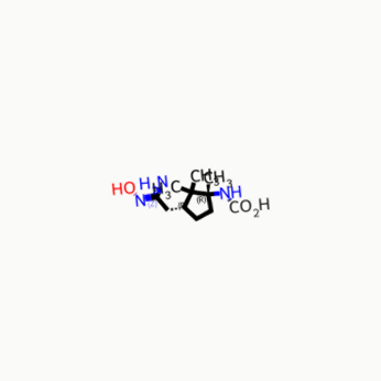 CC1(C)[C@@H](C/C(N)=N/O)CC[C@@]1(C)NC(=O)O